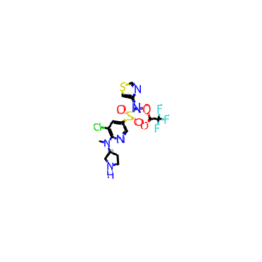 CN(c1ncc(S(=O)(=O)N(OC(=O)C(F)(F)F)c2cscn2)cc1Cl)[C@H]1CCNC1